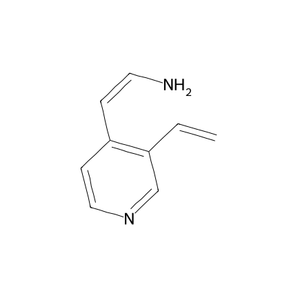 C=Cc1cnccc1/C=C\N